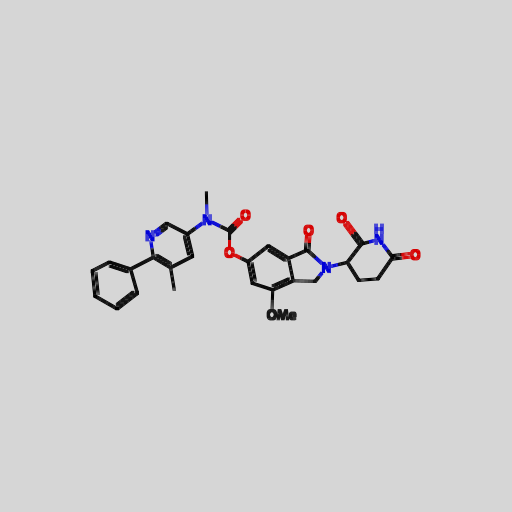 COc1cc(OC(=O)N(C)c2cnc(-c3ccccc3)c(C)c2)cc2c1CN(C1CCC(=O)NC1=O)C2=O